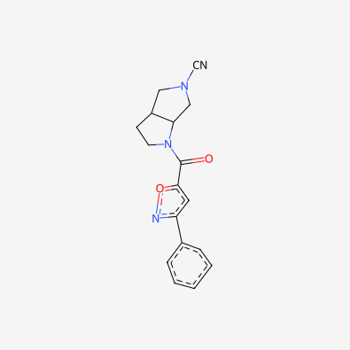 N#CN1CC2CCN(C(=O)c3cc(-c4ccccc4)no3)C2C1